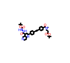 CN(CCC(=O)OC(C)(C)C)C(=O)c1ccc(C#Cc2ccc(-c3cc(C(=O)NNC(=O)OC(C)(C)C)c4cnccc4n3)cc2)cc1